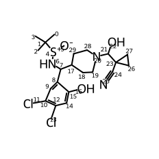 CC(C)(C)[S+]([O-])NC(c1cc(Cl)c(Cl)cc1O)C1CCN(C(O)C2(C#N)CC2)CC1